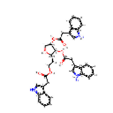 O=C(Cc1c[nH]c2ccccc12)OCC[C@H]1OC[C@H](OC(=O)Cc2c[nH]c3ccccc23)[C@H]1OC(=O)Cc1c[nH]c2ccccc12